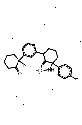 CNC1(c2ccc(F)cc2)CCCC(c2cccc(C3(N)CCCCC3=O)c2)C1=O